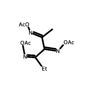 CCC(=NOC(C)=O)C(=NOC(C)=O)C(C)=NOC(C)=O